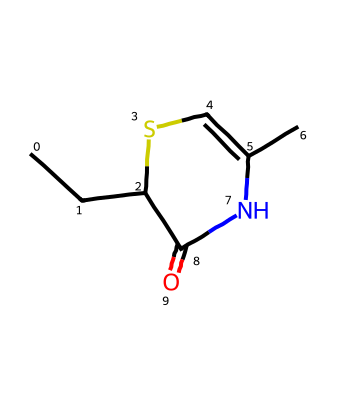 CCC1SC=C(C)NC1=O